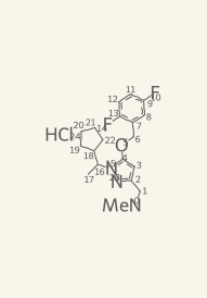 CNCc1cc(OCc2cc(F)ccc2F)n(C(C)C2CCCC2)n1.Cl